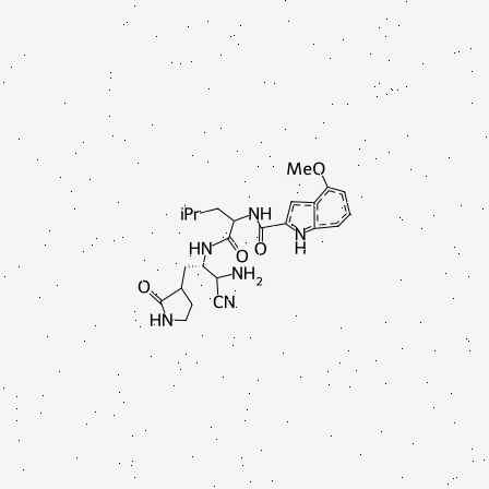 COc1cccc2[nH]c(C(=O)NC(CC(C)C)C(=O)N[C@@H](CC3CCNC3=O)C(N)C#N)cc12